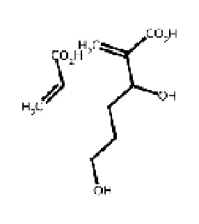 C=C(C(=O)O)C(O)CCCO.C=CC(=O)O